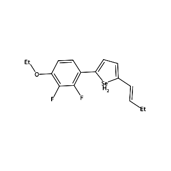 CCC=CC1=CC=C(c2ccc(OCC)c(F)c2F)[SeH2]1